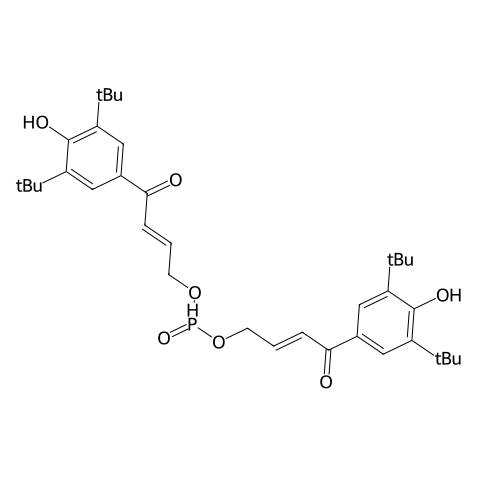 CC(C)(C)c1cc(C(=O)C=CCO[PH](=O)OCC=CC(=O)c2cc(C(C)(C)C)c(O)c(C(C)(C)C)c2)cc(C(C)(C)C)c1O